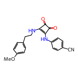 COc1ccc(CCNc2c(Nc3ccc(C#N)cc3)c(=O)c2=O)cc1